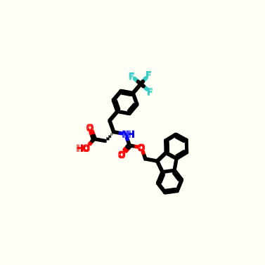 O=C(O)C[C@H](Cc1ccc(C(F)(F)F)cc1)NC(=O)OCC1c2ccccc2-c2ccccc21